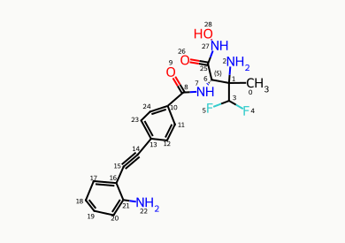 CC(N)(C(F)F)[C@H](NC(=O)c1ccc(C#Cc2ccccc2N)cc1)C(=O)NO